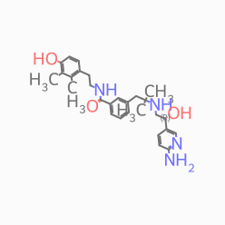 Cc1c(O)ccc(CCNC(=O)c2cccc(CC(C)(C)NC[C@H](O)c3ccc(N)nc3)c2)c1C